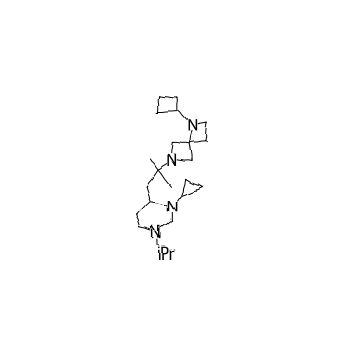 CC(C)N1CCC(CC(C)(C)N2CC3(CCN3C3CCC3)C2)N(C2CC2)C1